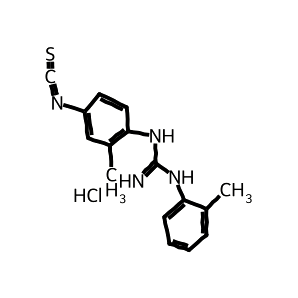 Cc1ccccc1NC(=N)Nc1ccc(N=C=S)cc1C.Cl